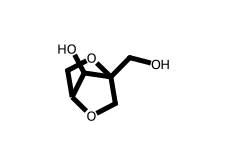 OCC12COC(CO1)C2O